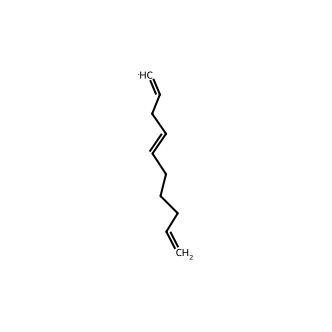 [CH]=CCC=CCCCC=C